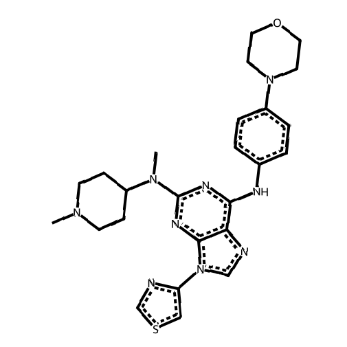 CN1CCC(N(C)c2nc(Nc3ccc(N4CCOCC4)cc3)c3ncn(-c4cscn4)c3n2)CC1